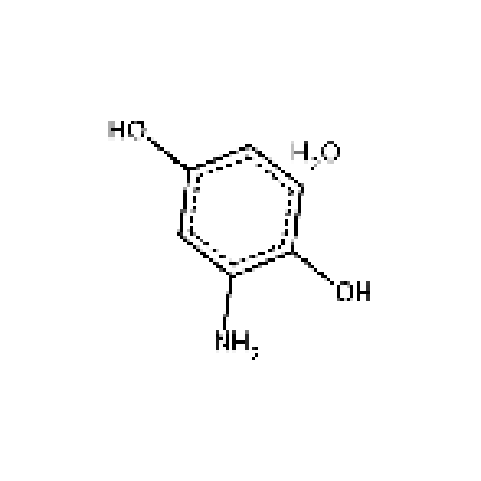 Nc1cc(O)ccc1O.O